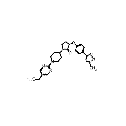 CCc1cnc(N2CCC(N3CCC(Oc4ccc(-c5nnn(C)n5)cc4)C3=O)CC2)nc1